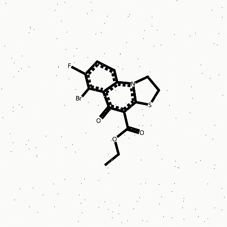 CCOC(=O)c1c2n(c3ccc(F)c(Br)c3c1=O)CCS2